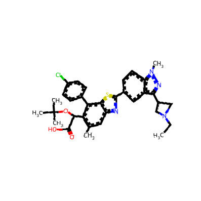 CCN1CC(c2nn(C)c3ccc(-c4nc5cc(C)c(C(OC(C)(C)C)C(=O)O)c(-c6ccc(Cl)cc6)c5s4)cc23)C1